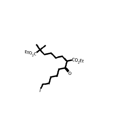 CCOC(=O)C(CCCCC(C)(C)C(=O)OCC)C(=O)CCCCCI